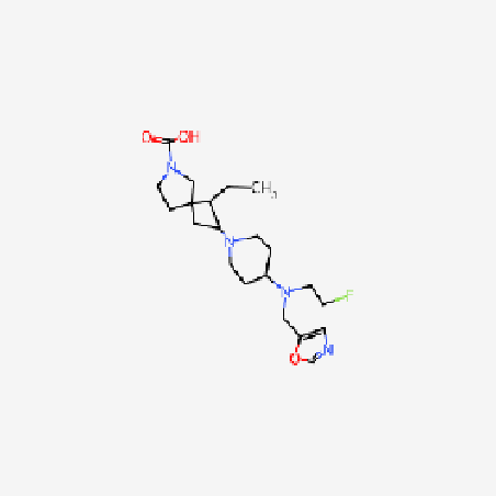 CCC1C(N2CCC(N(CCF)Cc3cnco3)CC2)CC12CCN(C(=O)O)C2